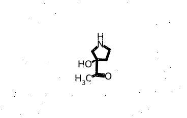 CC(=O)[C@@]1(O)CCNC1